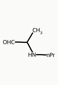 CCCNC(C)C=O